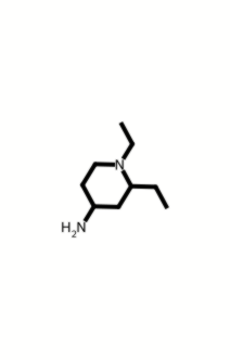 CCC1CC(N)CCN1CC